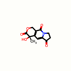 C[C@@]1(O)C(=O)OCc2c1cc1n(c2=O)CCC1=O